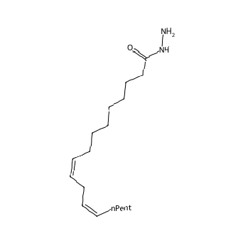 CCCCC/C=C\C/C=C\CCCCCCCC(=O)NN